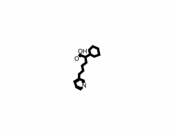 O=C(O)C(CCCCc1cccnc1)C1CCCCC1